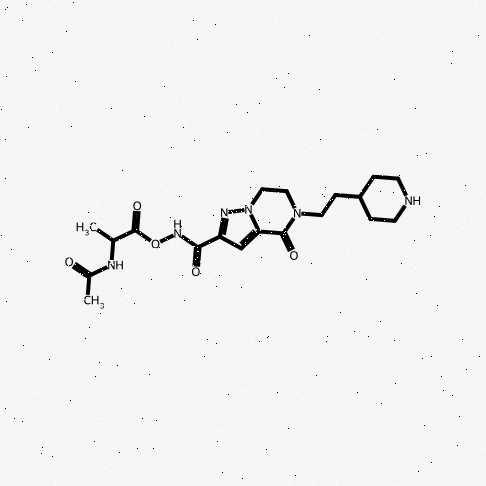 CC(=O)NC(C)C(=O)ONC(=O)c1cc2n(n1)CCN(CCC1CCNCC1)C2=O